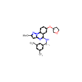 COc1cc2nc(N[C@H](C)c3cc([N+](=O)[O-])cc(C(F)(F)F)c3)c3cc(O[C@H]4CCOC4)ccc3n2n1